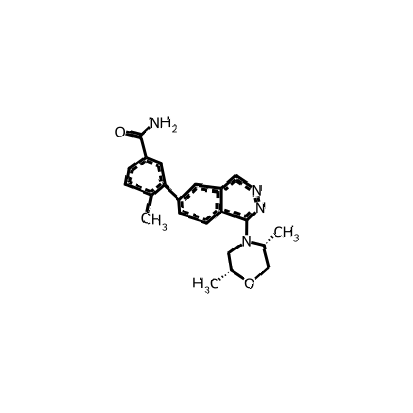 Cc1ccc(C(N)=O)cc1-c1ccc2c(N3C[C@@H](C)OC[C@H]3C)nncc2c1